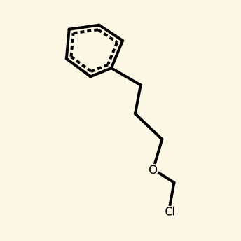 ClCOCCCc1ccccc1